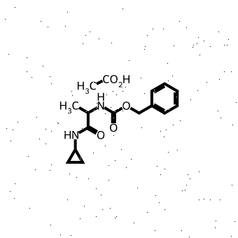 CC(=O)O.CC(NC(=O)OCc1ccccc1)C(=O)NC1CC1